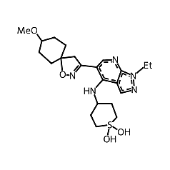 CCn1ncc2c(NC3CCS(O)(O)CC3)c(C3=NOC4(CCC(OC)CC4)C3)cnc21